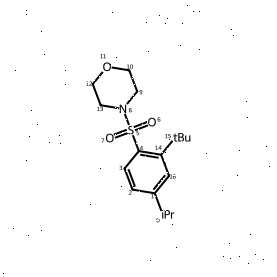 CC(C)c1ccc(S(=O)(=O)N2CCOCC2)c(C(C)(C)C)c1